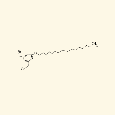 CCCCCCCCCCCCCCCCOc1cc(CBr)cc(CBr)c1